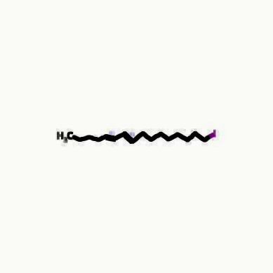 CCCC/C=C/C=C/CCCCCCCCI